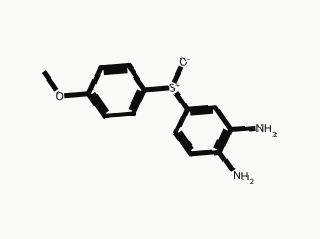 COc1ccc([S+]([O-])c2ccc(N)c(N)c2)cc1